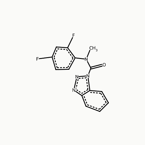 CN(C(=O)n1nnc2ccccc21)c1ccc(F)cc1F